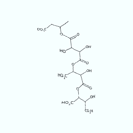 CCOC(=O)CC(C)OC(=O)C(O)C(O)C(=O)OC(C(=O)O)C(O)C(=O)OC(C(=O)O)C(O)C(=O)O